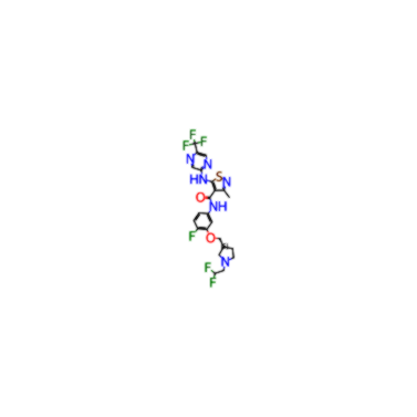 Cc1nsc(Nc2cnc(C(F)(F)F)cn2)c1C(=O)Nc1ccc(F)c(OC[C@H]2CCN(CC(F)F)C2)c1